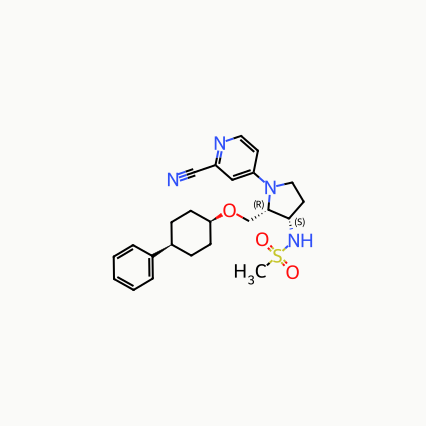 CS(=O)(=O)N[C@H]1CCN(c2ccnc(C#N)c2)[C@H]1CO[C@H]1CC[C@@H](c2ccccc2)CC1